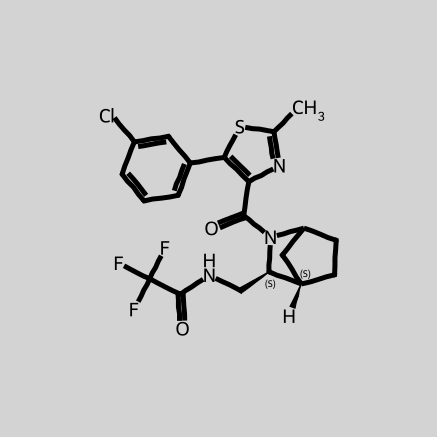 Cc1nc(C(=O)N2C3CC[C@@H](C3)[C@H]2CNC(=O)C(F)(F)F)c(-c2cccc(Cl)c2)s1